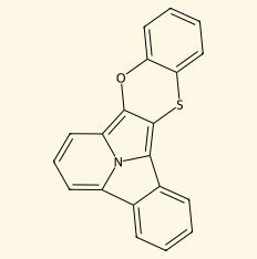 c1ccc2c(c1)Oc1c(c3c4ccccc4c4cccc1n43)S2